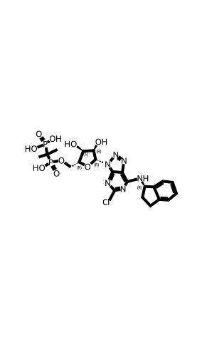 CC(C)(P(=O)(O)O)P(=O)(O)OC[C@H]1O[C@@H](n2nnc3c(N[C@@H]4CCc5ccccc54)nc(Cl)nc32)[C@H](O)[C@@H]1O